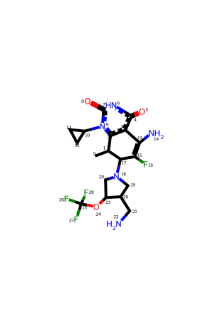 CC1c2c(c(=O)[nH]c(=O)n2C2CC2)C(N)=C(F)C1N1CC(CN)C(OC(F)(F)F)C1